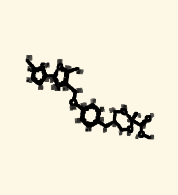 COC(=O)[C@]1(C)OC[C@@H](Cc2ccc(OCc3nc(-c4ccc(C)s4)oc3C)cc2)CO1